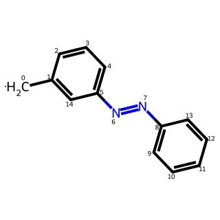 [CH2]c1cccc(/N=N/c2ccccc2)c1